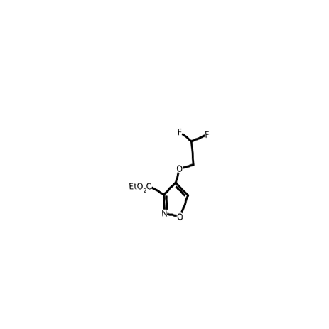 CCOC(=O)c1nocc1OCC(F)F